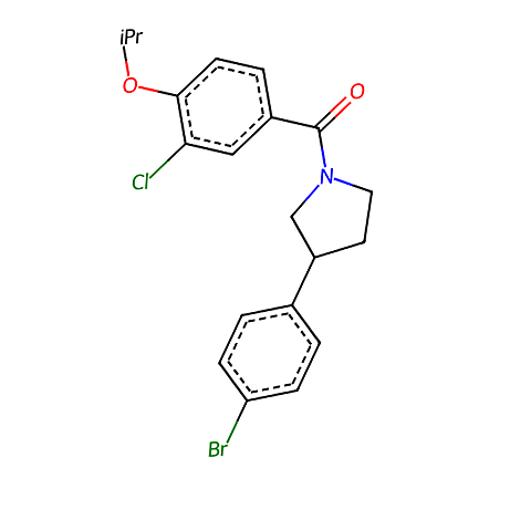 CC(C)Oc1ccc(C(=O)N2CCC(c3ccc(Br)cc3)C2)cc1Cl